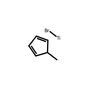 [CH2]C1C=CC=C1.[Ti][Br]